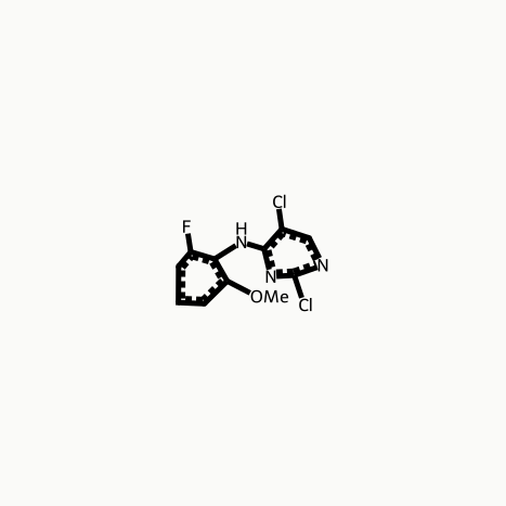 COc1cccc(F)c1Nc1nc(Cl)ncc1Cl